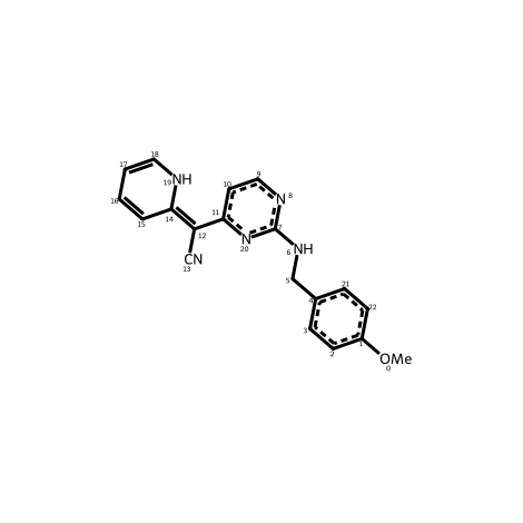 COc1ccc(CNc2nccc(/C(C#N)=C3/C=CC=CN3)n2)cc1